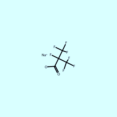 O=C([O-])C(F)(C(F)(F)F)C(F)(F)F.[Na+]